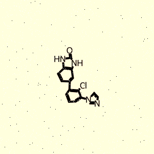 O=c1[nH]c2ccc(-c3cccc(-n4ccnc4)c3Cl)cc2[nH]1